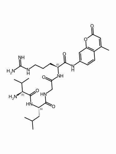 Cc1cc(=O)oc2cc(NC(=O)[C@H](CCCNC(=N)N)NC(=O)CNC(=O)[C@H](CC(C)C)NC(=O)[C@@H](N)C(C)C)ccc12